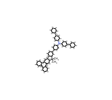 CC1(C)c2cc(-c3ccc(N(c4ccc(-c5ccccc5)cc4)c4ccc(-c5ccccc5)cc4)cc3)ccc2-c2cc3c4ccccc4c4ccccc4c3cc21